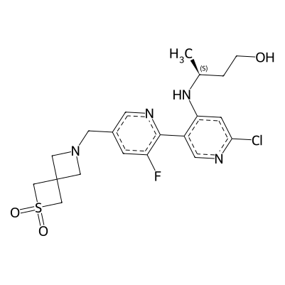 C[C@@H](CCO)Nc1cc(Cl)ncc1-c1ncc(CN2CC3(C2)CS(=O)(=O)C3)cc1F